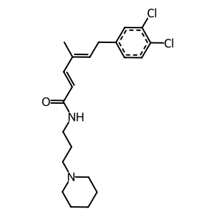 CC(C=CC(=O)NCCCN1CCCCC1)=CCc1ccc(Cl)c(Cl)c1